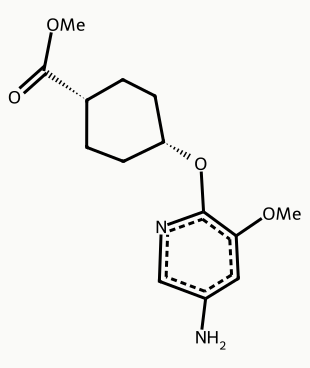 COc1cc(N)cnc1O[C@H]1CC[C@@H](C(=O)OC)CC1